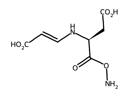 NOC(=O)[C@H](CC(=O)O)NC=CC(=O)O